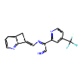 N=C/C(=N\C=C1/Cc2cccnc21)c1cc(C(F)(F)F)ccn1